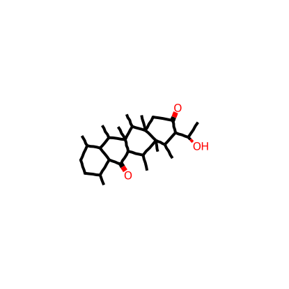 CC(O)C1C(=O)CC2(C)C(C)C3(C)C(C)C4C(C)CCC(C)C4C(=O)C3C(C)C2(C)C1C